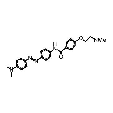 CNCCOc1ccc(C(=O)Nc2ccc(/N=N/c3ccc(N(C)C)cc3)cc2)cc1